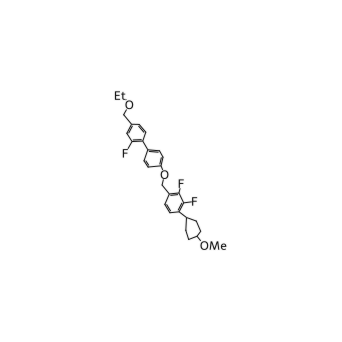 CCOCc1ccc(-c2ccc(OCc3ccc(C4CCC(OC)CC4)c(F)c3F)cc2)c(F)c1